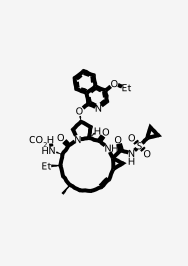 CCOc1cnc(O[C@@H]2C[C@H]3C(=O)NC4(C(=O)NS(=O)(=O)C5CC5)CC4/C=C\CC[C@@H](C)C[C@@H](CC)[C@H](NC(=O)O)C(=O)N3C2)c2ccccc12